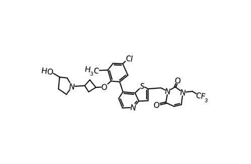 Cc1cc(Cl)cc(-c2ccnc3cc(Cn4c(=O)ccn(CC(F)(F)F)c4=O)sc23)c1OC1CC(N2CCC(O)C2)C1